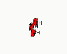 CC(C)(C)c1cc(CCC(=O)OCC(CO)(CO)COC(=O)CCc2cc(-n3nc4ccccc4n3)c(O)c(C(C)(C)C)c2)cc(-n2nc3ccccc3n2)c1O